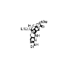 CCNc1ncc(F)c(Nc2nn(C(=O)OCC)c3c2CN(C(=O)OC(C)(C)C)C3(C)C)n1